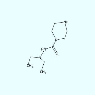 CCN(CC)NC(=O)N1CCNCC1